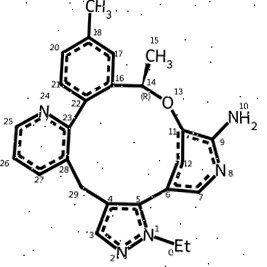 CCn1ncc2c1-c1cnc(N)c(c1)O[C@H](C)c1cc(C)ccc1-c1ncccc1C2